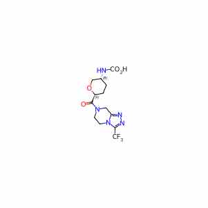 O=C(O)N[C@@H]1CC[C@@H](C(=O)N2CCn3c(nnc3C(F)(F)F)C2)OC1